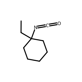 CCC1(N=C=O)CCCCC1